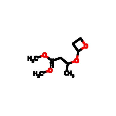 CO[SiH](CC(C)OC1CCO1)OC